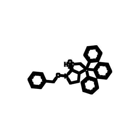 CCP(c1ccccc1)(c1ccccc1)(c1ccccc1)C1CCN(OCc2ccccc2)C1=O